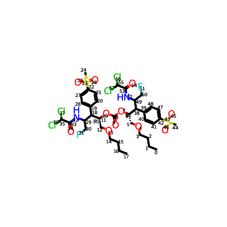 CCCCOC[C@H](OC(=O)O[C@@H](COCCCC)C(c1ccc(S(C)(=O)=O)cc1)C(CF)NC(=O)C(Cl)Cl)C(c1ccc(S(C)(=O)=O)cc1)C(CF)NC(=O)C(Cl)Cl